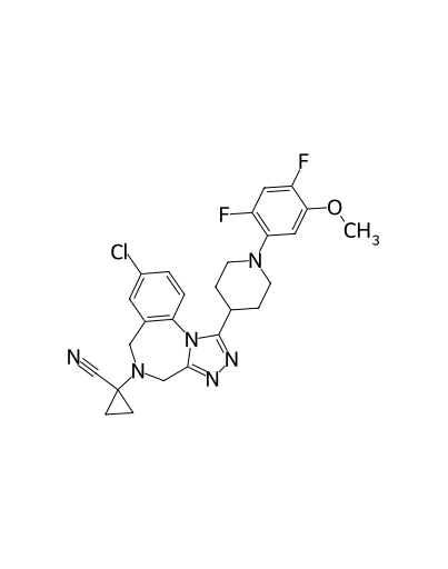 COc1cc(N2CCC(c3nnc4n3-c3ccc(Cl)cc3CN(C3(C#N)CC3)C4)CC2)c(F)cc1F